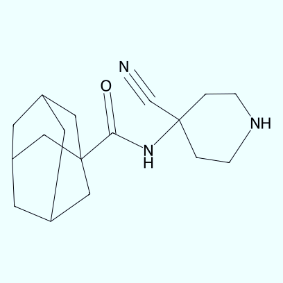 N#CC1(NC(=O)C23CC4CC(CC(C4)C2)C3)CCNCC1